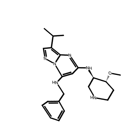 CO[C@@H]1CCNC[C@H]1Nc1cc(NCc2ccccc2)n2ncc(C(C)C)c2n1